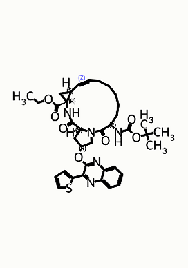 CCOC(=O)[C@@]12C[C@H]1/C=C\CCCCC[C@@H](NC(=O)OC(C)(C)C)C(=O)N1C[C@H](Oc3nc4ccccc4nc3-c3cccs3)C[C@H]1C(=O)N2